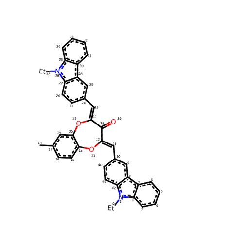 CCn1c2ccccc2c2cc(/C=C3\Oc4ccc(C)cc4O/C(=C\c4ccc5c(c4)c4ccccc4n5CC)C3=O)ccc21